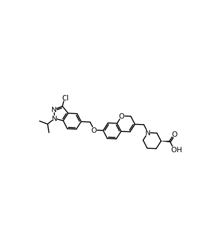 CC(C)n1nc(Cl)c2cc(COc3ccc4c(c3)OCC(CN3CCC[C@H](C(=O)O)C3)=C4)ccc21